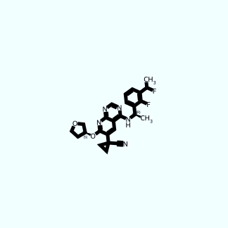 CC(F)c1cccc([C@@H](C)Nc2ncnc3nc(O[C@H]4CCOC4)c(C4(C#N)CC4)cc23)c1F